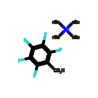 CCCC[N+](CCCC)(CCCC)CCCC.O=C(O)c1c(F)c(F)c(F)c(F)c1F